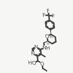 CCOC(O)c1ncnc(NC[C@@H]2CCC[C@H](c3ccc(C(F)(F)F)cc3)O2)c1C